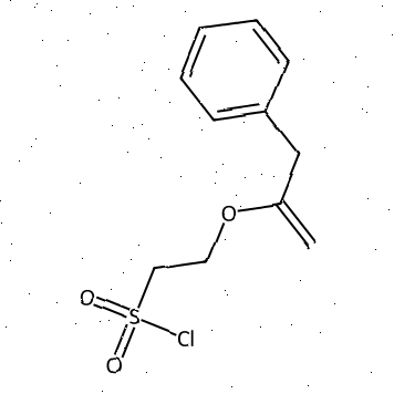 C=C(Cc1ccccc1)OCCS(=O)(=O)Cl